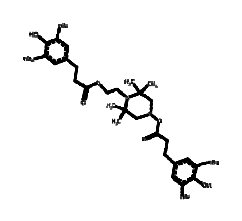 CCCCc1cc(CCC(=O)OCCN2C(C)(C)CN(OC(=O)CCc3cc(CCCC)c(O)c(CCCC)c3)CC2(C)C)cc(CCCC)c1O